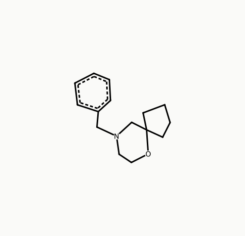 c1ccc(CN2CCOC3(CCCC3)C2)cc1